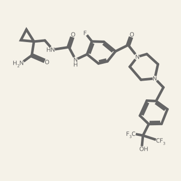 NC(=O)C1(CNC(=O)Nc2ccc(C(=O)N3CCN(Cc4ccc(C(O)(C(F)(F)F)C(F)(F)F)cc4)CC3)cc2F)CC1